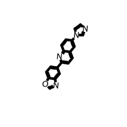 c1cn(-c2ccc3nc(-c4ccc5ocnc5c4)ccc3c2)cn1